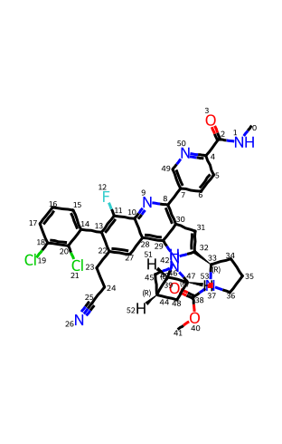 CNC(=O)c1ccc(-c2nc3c(F)c(-c4cccc(Cl)c4Cl)c(CCC#N)cc3c3c2cc([C@H]2CCCN2C(=O)OC)n3[C@H]2[C@H]3CN[C@@H]2C3)cn1